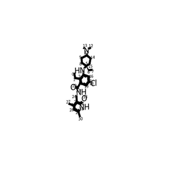 CCc1c(N[C@]2(CC)CC[C@@H](N(C)C)CC2)cc(Cl)cc1C(=O)NCc1c(C)cc(C)[nH]c1=O